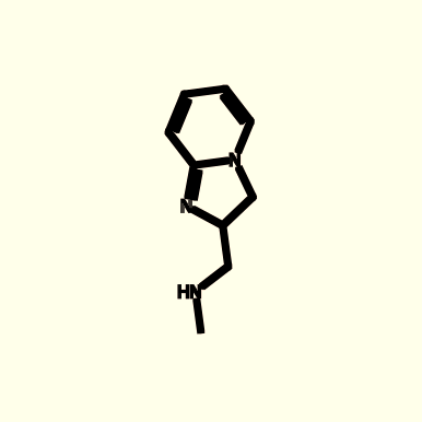 CNCC1CN2C=CC=CC2=N1